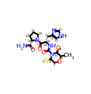 CC1OCC(=S)N(C(=O)N[C@@H](Cc2c[nH]cn2)C(=O)N2CCC[C@H]2C(N)=O)C1=O